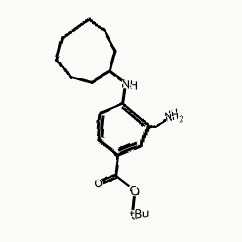 CC(C)(C)OC(=O)c1ccc(NC2CCCCCCC2)c(N)c1